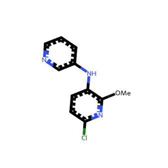 COc1nc(Cl)ccc1Nc1cccnc1